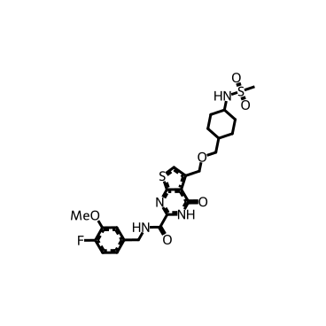 COc1cc(CNC(=O)c2nc3scc(COCC4CCC(NS(C)(=O)=O)CC4)c3c(=O)[nH]2)ccc1F